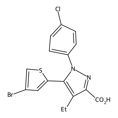 CCc1c(C(=O)O)nn(-c2ccc(Cl)cc2)c1-c1cc(Br)cs1